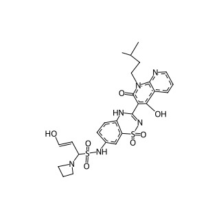 CC(C)CCn1c(=O)c(C2=NS(=O)(=O)c3cc(NS(=O)(=O)C(C=CO)N4CCC4)ccc3N2)c(O)c2cccnc21